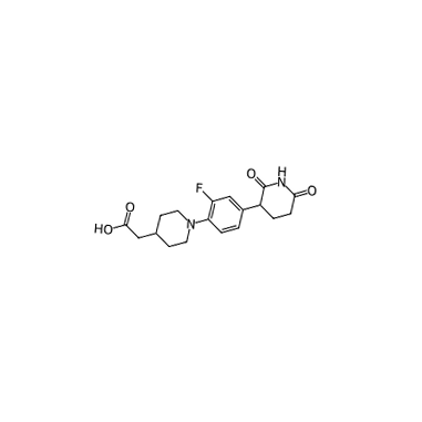 O=C(O)CC1CCN(c2ccc(C3CCC(=O)NC3=O)cc2F)CC1